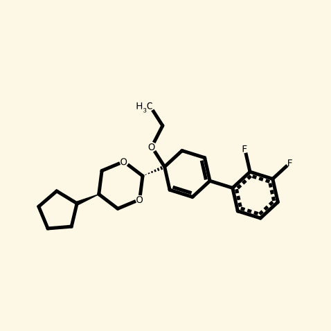 CCOC1([C@H]2OC[C@H](C3CCCC3)CO2)C=CC(c2cccc(F)c2F)=CC1